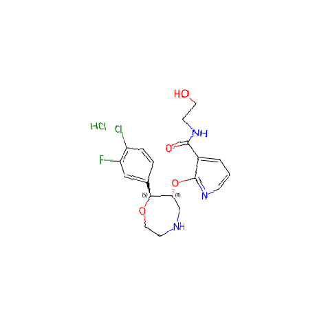 Cl.O=C(NCCO)c1cccnc1O[C@@H]1CNCCO[C@H]1c1ccc(Cl)c(F)c1